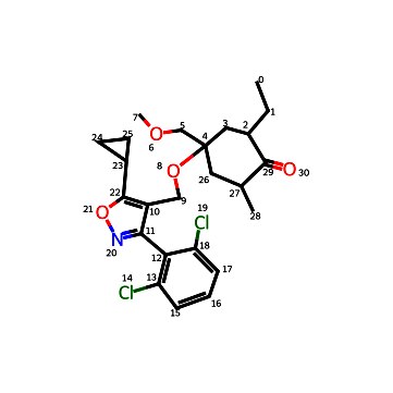 CCC1CC(COC)(OCc2c(-c3c(Cl)cccc3Cl)noc2C2CC2)CC(C)C1=O